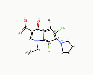 CCn1cc(C(=O)O)c(=O)c2c(F)c(F)c(N3CCCC3)c(F)c21